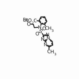 CCOCCN(c1c(C)cccc1C(=O)O)S(=O)(=O)c1nc2nc(C)ccn2n1